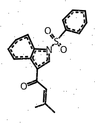 CC(C)=CC(=O)c1cn(S(=O)(=O)c2ccccc2)c2ccccc12